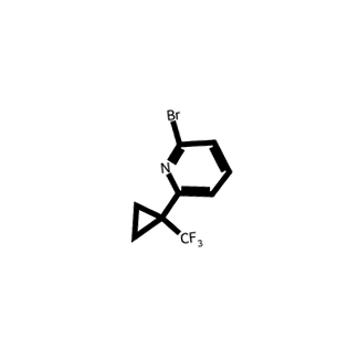 FC(F)(F)C1(c2cccc(Br)n2)CC1